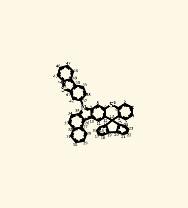 c1ccc2c(c1)Sc1cc3c(cc1C21c2ccccc2-c2ccccc21)c1c2ccccc2ccc1n3-c1ccc2c(c1)sc1ccccc12